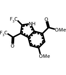 COC(=O)c1cc(OC)cc2c(C(=O)C(F)(F)F)c(C(F)(F)F)[nH]c12